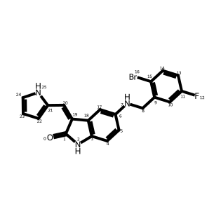 O=C1Nc2ccc(NCc3cc(F)ccc3Br)cc2C1=Cc1ccc[nH]1